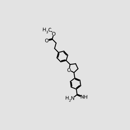 COC(=O)CCc1ccc(C2CCC(c3ccc(C(=N)N)cc3)O2)cc1